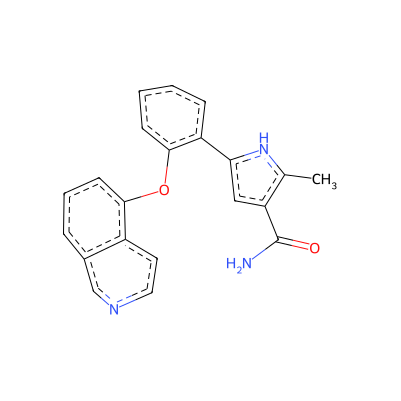 Cc1[nH]c(-c2ccccc2Oc2cccc3cnccc23)cc1C(N)=O